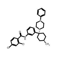 C[C@H]1CC[C@](c2cccc(NC(=O)c3ccc(Cl)cc3Cl)c2)(N2CCN(c3ccccc3)CC2)CC1